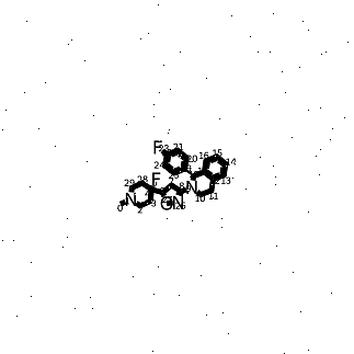 CN1CCC(F)(C2CC(N3CCc4ccccc4[C@@H]3c3ccc(F)cc3)=NO2)CC1